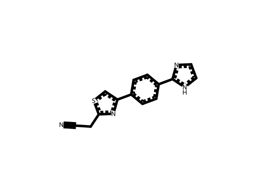 N#CCc1nc(-c2ccc(-c3ncc[nH]3)cc2)cs1